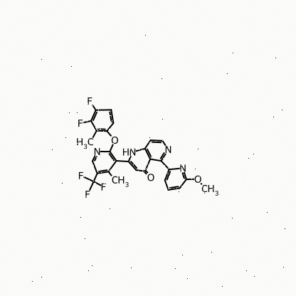 COc1cccc(-c2nccc3[nH]c(-c4c(Oc5ccc(F)c(F)c5C)ncc(C(F)(F)F)c4C)cc(=O)c23)n1